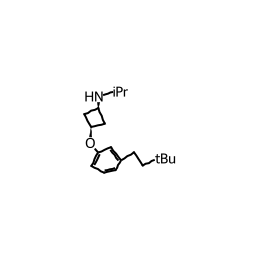 CC(C)N[C@H]1C[C@@H](Oc2cccc(CCC(C)(C)C)c2)C1